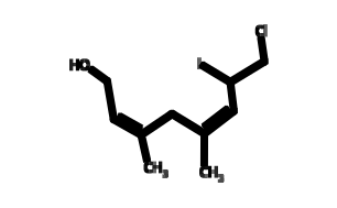 C/C(=C/CO)C/C(C)=C\C(I)CCl